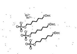 CCCCCCCCCCCCCCCCOP(=O)([O-])[O-].CCCCCCCCCCCCCCCCOP(=O)([O-])[O-].CCCCCCCCCCCCCCCCOP(=O)([O-])[O-].[In+3].[In+3]